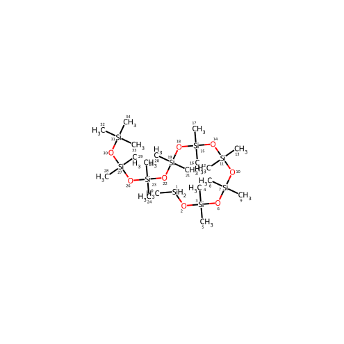 C[SiH2]O[Si](C)(C)O[Si](C)(C)O[Si](C)(C)O[Si](C)(C)O[Si](C)(C)O[Si](C)(C)O[Si](C)(C)O[Si](C)(C)C